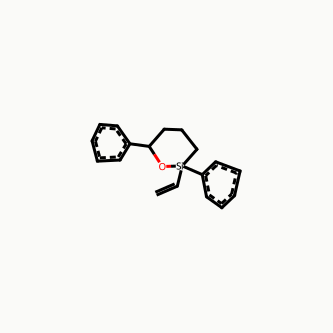 C=C[Si]1(c2ccccc2)CCCC(c2ccccc2)O1